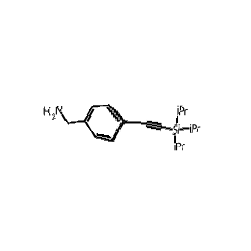 CC(C)[Si](C#Cc1ccc(CN)cc1)(C(C)C)C(C)C